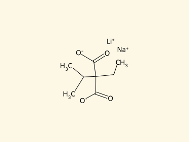 CCC(C(=O)[O-])(C(=O)[O-])C(C)C.[Li+].[Na+]